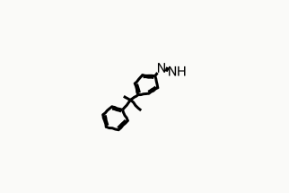 CC(C)(c1ccccc1)c1ccc(N=N)cc1